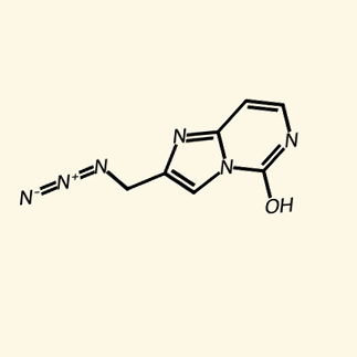 [N-]=[N+]=NCc1cn2c(O)nccc2n1